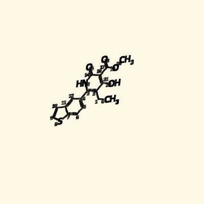 CCc1c(-c2ccc3sccc3c2)[nH]c(=O)c(C(=O)OC)c1O